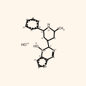 CC1CC(C2N=Cc3sccc3N2O)CC(c2ccccc2)N1.Cl